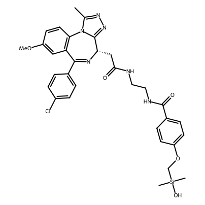 COc1ccc2c(c1)C(c1ccc(Cl)cc1)=N[C@@H](CC(=O)NCCNC(=O)c1ccc(OC[Si](C)(C)O)cc1)c1nnc(C)n1-2